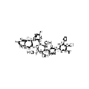 Cc1nc([C@@H]2O[C@H](CO)[C@H](O)[C@H](n3cc(-c4cc(F)c(Cl)c(Cl)c4)nn3)[C@H]2O)n(-c2ccc3ncsc3c2)n1